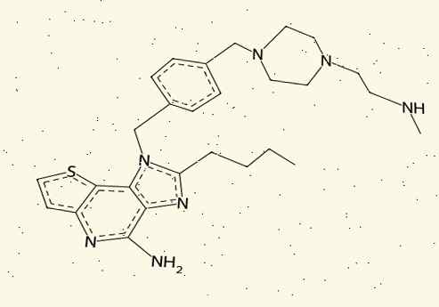 CCCCc1nc2c(N)nc3ccsc3c2n1Cc1ccc(CN2CCN(CCNC)CC2)cc1